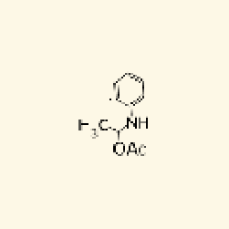 CC(=O)OC(C)Nc1[c]cccc1